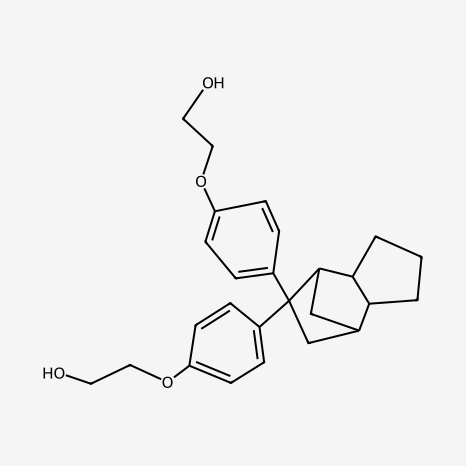 OCCOc1ccc(C2(c3ccc(OCCO)cc3)CC3CC2C2CCCC32)cc1